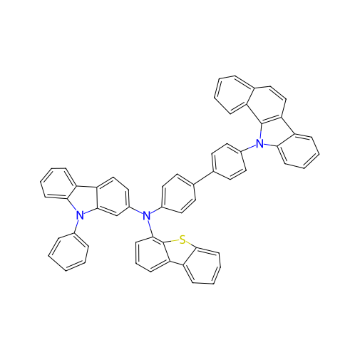 c1ccc(-n2c3ccccc3c3ccc(N(c4ccc(-c5ccc(-n6c7ccccc7c7ccc8ccccc8c76)cc5)cc4)c4cccc5c4sc4ccccc45)cc32)cc1